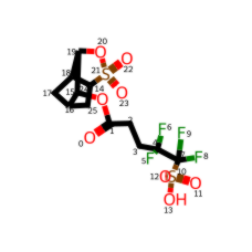 O=C(CCC(F)(F)C(F)(F)S(=O)(=O)O)OC1C2CC3C1OS(=O)(=O)C3C2